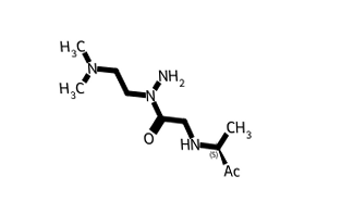 CC(=O)[C@H](C)NCC(=O)N(N)CCN(C)C